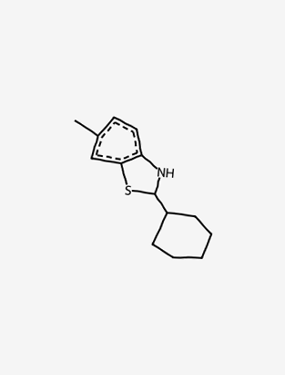 Cc1ccc2c(c1)SC(C1CCCCC1)N2